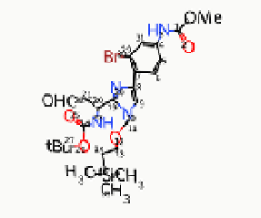 COC(=O)Nc1ccc(-c2cn(COCC[Si](C)(C)C)c([C@H](CC=O)NC(=O)OC(C)(C)C)n2)c(Br)c1